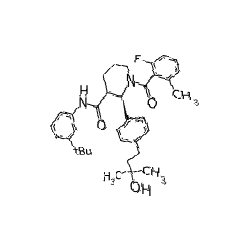 Cc1cccc(F)c1C(=O)N1CCCC(C(=O)Nc2cccc(C(C)(C)C)c2)[C@@H]1c1ccc(CCC(C)(C)O)cc1